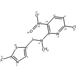 Cc1ncc(CN(C)c2nc(Cl)ccc2[N+](=O)[O-])s1